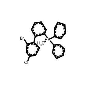 C[PH](c1ccccc1)(c1ccccc1)c1ccccc1-c1ccc(Cl)cc1Br